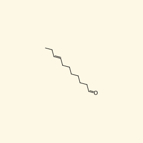 CCC=CCCCCCCC=O